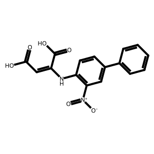 O=C(O)C=C(Nc1ccc(-c2ccccc2)cc1[N+](=O)[O-])C(=O)O